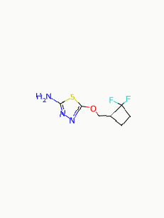 Nc1nnc(OCC2CCC2(F)F)s1